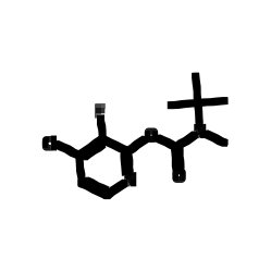 CN(C(=O)Oc1nccc(Cl)c1F)C(C)(C)C